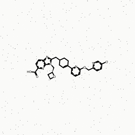 O=C(O)c1ccc2nc(CC3CC=C(c4cccc(OCc5ccc(Cl)cn5)n4)CC3)n(C[C@@H]3CCO3)c2n1